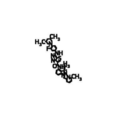 Cc1cccc(Cn2nc(C)c3c(NC(=O)c4csc5c(Nc6ccc(N7CC(C)CC(C)C7)c(F)c6)ncnc45)cccc32)n1